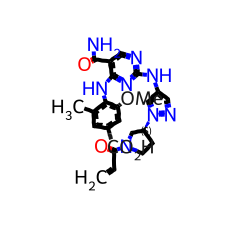 C=CC(=O)N1CC[C@H](n2cc(Nc3ncc(C(N)=O)c(Nc4c(C)cc(C(=O)O)cc4OC)n3)cn2)C1